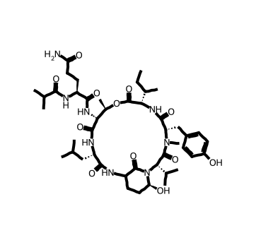 CCC(C)[C@@H]1NC(=O)[C@H](Cc2ccc(O)cc2)N(C)C(=O)[C@H](C(C)C)N2C(=O)C(CC[C@@H]2O)NC(=O)[C@H](CC(C)C)NC(=O)[C@H](NC(=O)[C@H](CCC(N)=O)NC(=O)C(C)C)[C@@H](C)OC1=O